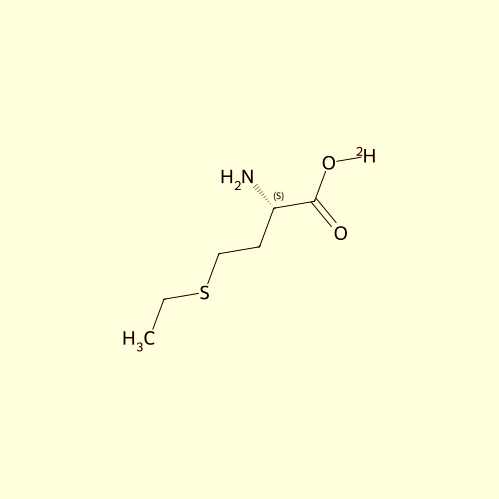 [2H]OC(=O)[C@@H](N)CCSCC